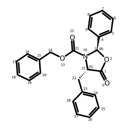 O=C1O[C@H](c2ccccc2)N(C(=O)OCc2ccccc2)[C@H]1Cc1ccccc1